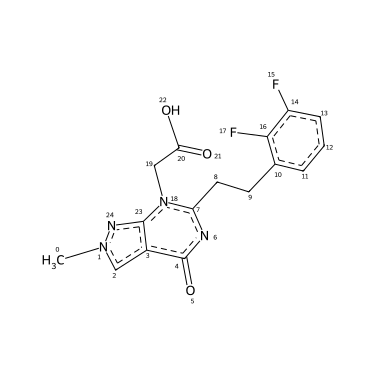 Cn1cc2c(=O)nc(CCc3cccc(F)c3F)n(CC(=O)O)c2n1